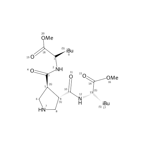 CC[C@H](C)C(NC(=O)[C@@H]1CNC[C@H]1C(=O)N[C@H](C(=O)OC)[C@@H](C)CC)C(=O)OC